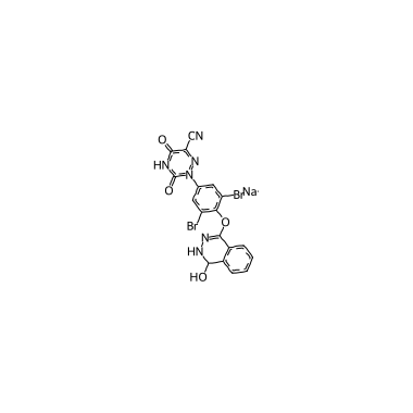 N#Cc1nn(-c2cc(Br)c(OC3=NNC(O)c4ccccc43)c(Br)c2)c(=O)[nH]c1=O.[Na]